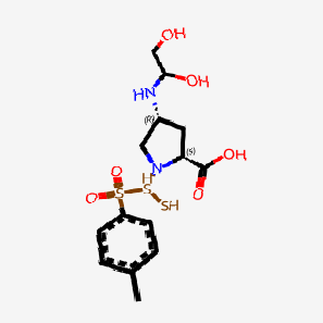 Cc1ccc(S(=O)(=O)[SH](S)N2C[C@H](NC(O)CO)C[C@H]2C(=O)O)cc1